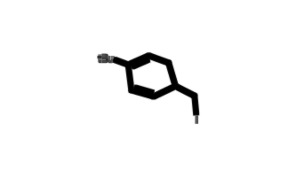 CC(C)(C)C1=CCC(CI)C=C1